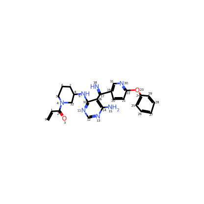 C=CC(=O)N1CCCC(Nc2ncnc(N)c2C(=N)c2ccc(Oc3ccccc3)nc2)C1